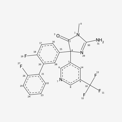 CN1C(=O)C(c2cncc(C(F)(F)F)c2)(c2ccc(F)c(-c3ccccc3F)c2)N=C1N